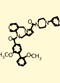 COc1ccccc1-c1ccc(C(=O)N2Cc3ccc(C(=O)N4CCN(c5ccncc5)CC4)n3Cc3ccccc32)cc1OC